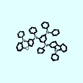 c1ccc(N(c2ccccc2)c2cc(N(c3ccccc3)c3ccc4c(c3)N(c3ccccc3)c3ccccc3O4)cc(N(c3ccccc3)c3ccc4c5ccccc5n(-c5ccccc5)c4c3)c2)cc1